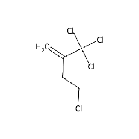 C=C(CCCl)C(Cl)(Cl)Cl